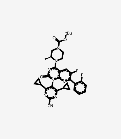 C[C@H]1CN(C(=O)OC(C)(C)C)CCN1c1nc(=O)n(-c2c(C3CC3)nc(C#N)nc2C2CC2)c2nc(-c3ccccc3F)c(F)cc12